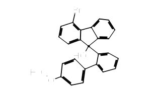 COc1ccc(-c2ccccc2C2(O)c3ccccc3-c3c(Br)cccc32)cc1